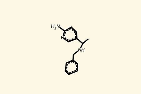 CC(NCc1ccccc1)c1ccc(N)nc1